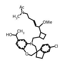 COC(/C=C/CCN(C)C(C)=O)C1CCC1CN1CC2(CCc3cc(Cl)ccc32)COc2ccc(C(C)O)cc21